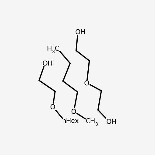 CCCCCCOCCO.CCCCOC.OCCOCCO